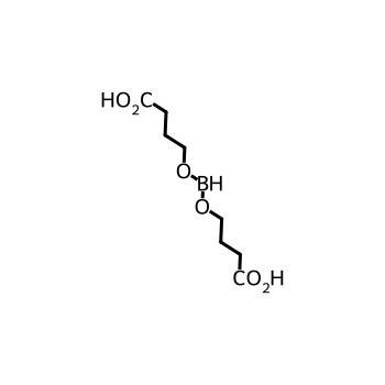 O=C(O)CCCOBOCCCC(=O)O